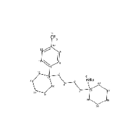 CCCCC1(CCCCC2(c3ccc(C(F)(F)F)cc3)CCCCC2)CCCCC1